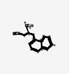 N#CC[C@H](Cc1cccc2ccccc12)C(=O)O